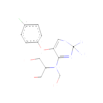 NC1(N)N=C(N(CO)C(CO)CO)C(Oc2ccc(Cl)cc2)=CN1